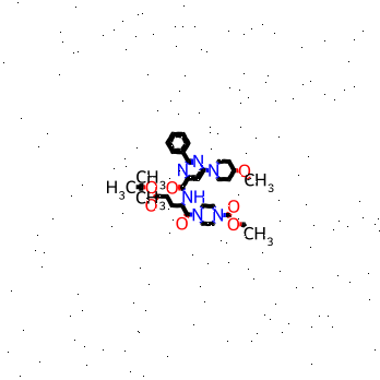 CCOC(=O)N1CCN(C(=O)C(CCC(=O)OC(C)(C)C)NC(=O)c2cc(N3CCC(OC)CC3)nc(-c3ccccc3)n2)CC1